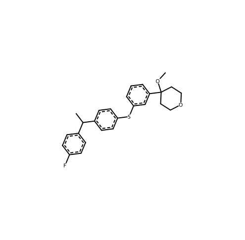 COC1(c2cccc(Sc3ccc(C(C)c4ccc(F)cc4)cc3)c2)CCOCC1